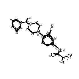 CCC(CC)C(=O)Nc1ccc(N2CCN(C(C)c3ccccc3)CC2)c(F)c1